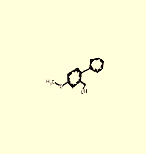 COc1ccc(-c2ccccc2)c(CO)c1